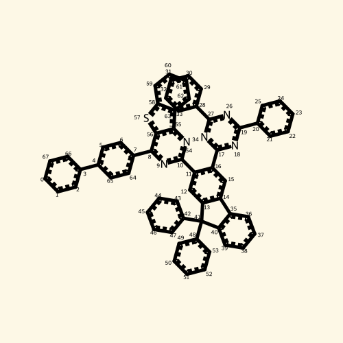 c1ccc(-c2ccc(-c3nc(-c4cc5c(cc4-c4nc(-c6ccccc6)nc(-c6ccccc6)n4)-c4ccccc4C5(c4ccccc4)c4ccccc4)nc4c3sc3ccccc34)cc2)cc1